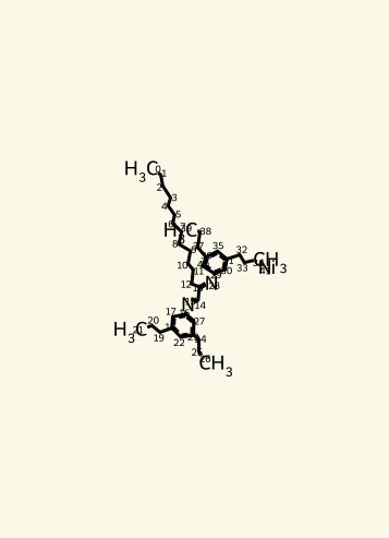 CCCCCCCCCCCCCC(/C=N/c1cc(CCC)cc(CCC)c1)=N\c1cc(CCC)cc(CCC)c1.[Ni]